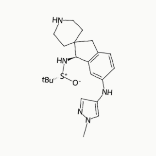 Cn1cc(Nc2ccc3c(c2)[C@@H](N[S@+]([O-])C(C)(C)C)C2(CCNCC2)C3)cn1